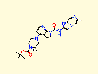 Cc1cn2cc(NC(=O)N3CCc4c(N5CCN(C(=O)OC(C)(C)C)[C@@H](C)C5)ccnc43)nc2cn1